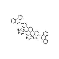 C[Si]1(C)c2cc(-c3cc4ccccc4c4ccccc34)ccc2-c2ccc3c4c(ccc1c24)[Si](C)(C)c1cc(-c2cc4ccccc4c4ccccc24)ccc1-3